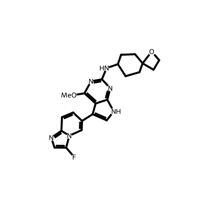 COc1nc(NC2CCC3(CCO3)CC2)nc2[nH]cc(-c3ccc4ncc(F)n4c3)c12